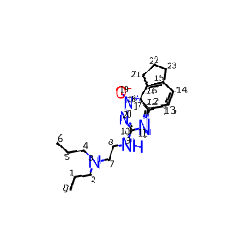 CCCN(CCC)CCNc1nc2ccc3c(c2[n+]([O-])n1)CCC3